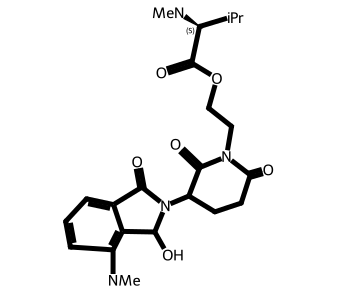 CNc1cccc2c1C(O)N(C1CCC(=O)N(CCOC(=O)[C@@H](NC)C(C)C)C1=O)C2=O